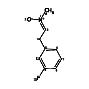 C[N+]([O-])=CCc1cccc(F)c1